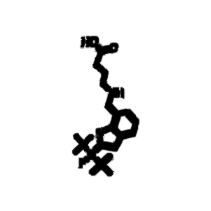 CC(C)(C)[Si](F)(c1cc2cccc(CNCCCC(=O)O)c2s1)C(C)(C)C